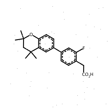 CC1(C)CC(C)(C)c2cc(-c3ccc(CC(=O)O)c(F)c3)ccc2O1